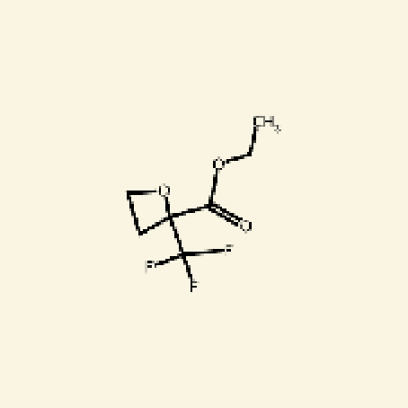 CCOC(=O)C1(C(F)(F)F)CCO1